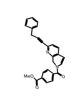 COC(=O)c1ccc(C(=O)N2C=Cc3ccc(C#CCc4ccccc4)nc3C2)cc1